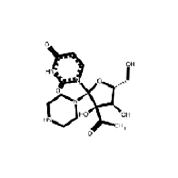 CC(=O)[C@@]1(O)[C@H](O)[C@@H](CO)O[C@@]1(N1CCNCC1)n1ccc(=O)[nH]c1=O